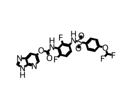 O=C(Nc1c(F)ccc(NS(=O)(=O)c2ccc(OC(F)F)cc2)c1F)Oc1cnc2[nH]cnc2c1